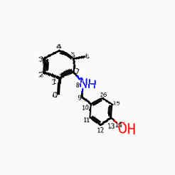 Cc1cccc(C)c1NCc1ccc(O)cc1